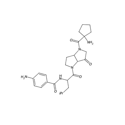 CC(C)CC(NC(=O)c1ccc(N)cc1)C(=O)N1CCC2C1C(=O)CN2C(=O)C1(N)CCCC1